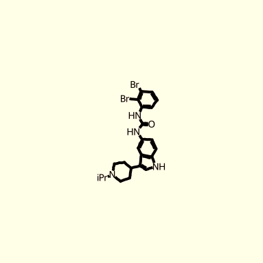 CC(C)N1CCC(c2c[nH]c3ccc(NC(=O)Nc4cccc(Br)c4Br)cc23)CC1